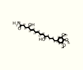 COc1cc(CCCCC(O)C=CC=CC=CC(O)CCC(N)=O)cc(OC)c1OC